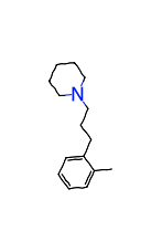 Cc1ccccc1CCCN1CCCCC1